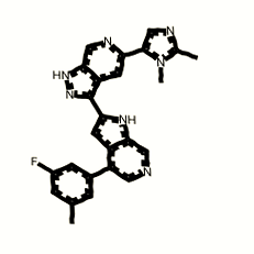 Cc1cc(F)cc(-c2cncc3[nH]c(-c4n[nH]c5cnc(-c6cnc(C)n6C)cc45)cc23)c1